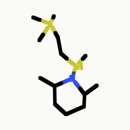 CC1CCCC(C)N1[SH](C)CCS(C)(C)C